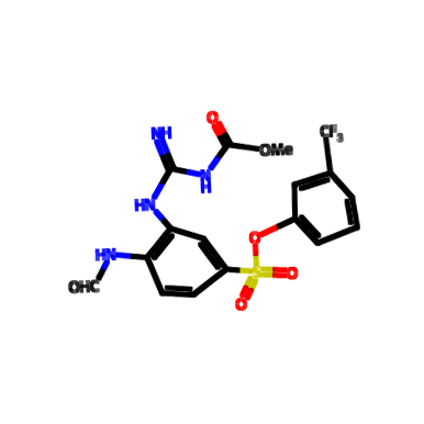 COC(=O)NC(=N)Nc1cc(S(=O)(=O)Oc2cccc(C(F)(F)F)c2)ccc1NC=O